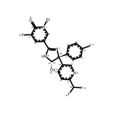 CCn1cc(C2=N[C@](c3ccc(F)cc3)(c3ccc(C(F)F)nc3)[C@H](C)N2)cc(F)c1=O